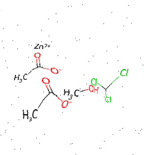 CC(=O)[O-].CC(=O)[O-].CO.ClC(Cl)Cl.[Zn+2]